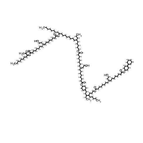 CCCCCCCCC(CCCCCCCCC(CCC)CCCCCOC(=O)CCCCCCCN(CCO)CCCCCCCC(=O)OC1CCC(CCC(CC)C(CCCCC)CCCOC(=O)CCCCCCCN(CCO)CCCCCCCC(=O)OC2CCC(C3CCCCC3)CC2)CC1)OC(=O)CCCCCCCN(CCO)CCCCCCCC(=O)OC(CCCCCCCC)C(C)C